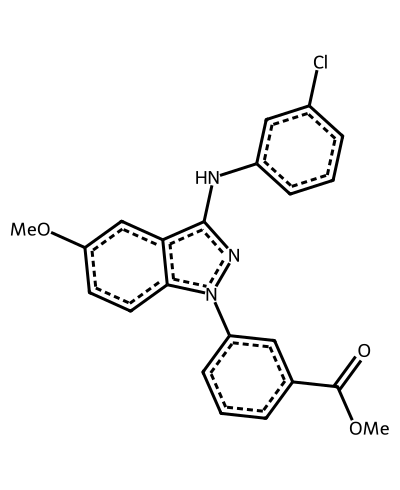 COC(=O)c1cccc(-n2nc(Nc3cccc(Cl)c3)c3cc(OC)ccc32)c1